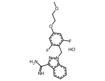 COCCOc1cc(F)c(Cn2nc(C(=N)N)c3ccccc32)c(F)c1.Cl